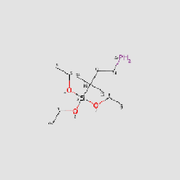 CCO[Si](OCC)(OCC)C(C)(C)CCP